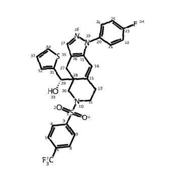 O=S(=O)(c1ccc(C(F)(F)F)cc1)N1CCC2=Cc3c(cnn3-c3ccc(F)cc3)CC2([C@H](O)c2cccs2)C1